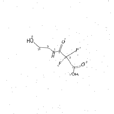 O=C(O)C(F)(F)C(=O)NCCO